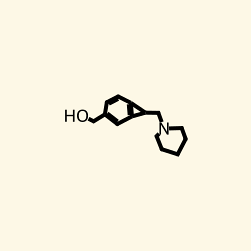 OCc1ccc2c(c1)C2CN1CCCCC1